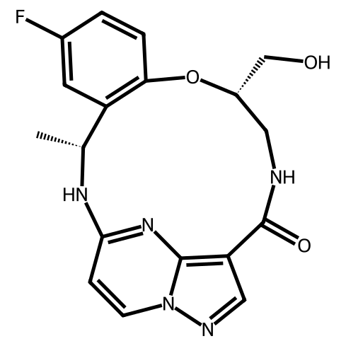 C[C@H]1Nc2ccn3ncc(c3n2)C(=O)NC[C@@H](CO)Oc2ccc(F)cc21